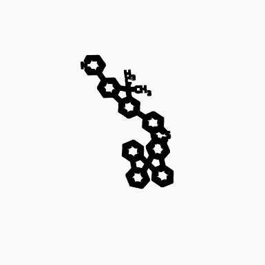 CC1(C)c2cc(-c3cccnc3)ccc2-c2ccc(-c3ccc4sc5cc6c(cc5c4c3)C3(c4ccccc4-c4ccccc43)c3ccccc3-6)cc21